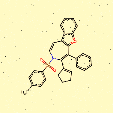 Cc1ccc(S(=O)(=O)N2C=Cc3c(oc4ccccc34)C(c3ccccc3)=C2C2=CCCC2)cc1